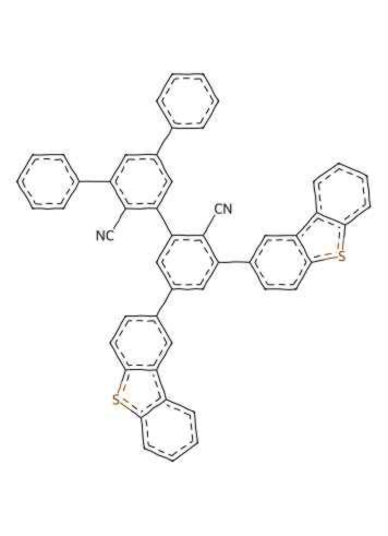 N#Cc1c(-c2ccccc2)cc(-c2ccccc2)cc1-c1cc(-c2ccc3sc4ccccc4c3c2)cc(-c2ccc3sc4ccccc4c3c2)c1C#N